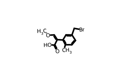 COC=C(C(=O)O)c1cc(CBr)ccc1C